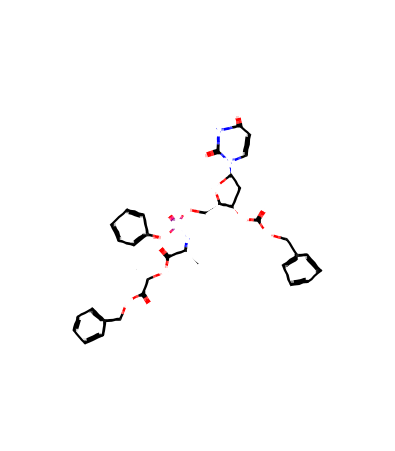 C[C@H](N[P@](=O)(OC[C@H]1O[C@@H](n2ccc(=O)[nH]c2=O)C[C@H]1OC(=O)OCc1ccccc1)Oc1ccccc1)C(=O)O[C@@H](C)C(=O)OCc1ccccc1